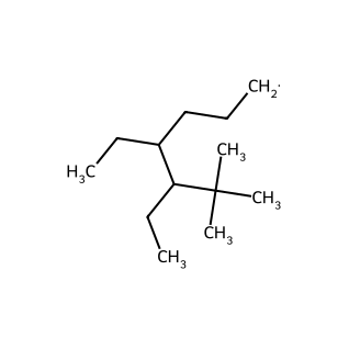 [CH2]CCC(CC)C(CC)C(C)(C)C